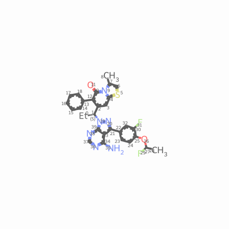 CC[C@@H](c1cc2scc(C)n2c(=O)c1-c1ccccc1)n1nc(-c2ccc(OC(C)F)c(F)c2)c2c(N)ncnc21